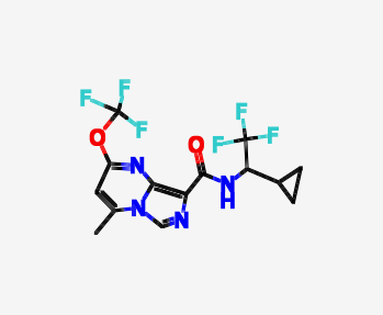 Cc1cc(OC(F)(F)F)nc2c(C(=O)NC(C3CC3)C(F)(F)F)ncn12